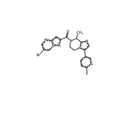 CC1c2ncc(-c3ccc(F)nc3)n2CCN1C(=O)c1cc2ncc(Br)cn2n1